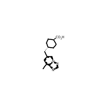 Cc1cc(C[C@H]2CC[C@H](C(=O)O)CC2)cn2ncnc12